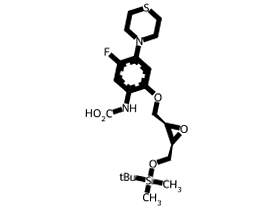 CC(C)(C)[Si](C)(C)OC[C@@H]1O[C@@H]1COc1cc(N2CCSCC2)c(F)cc1NC(=O)O